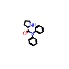 O=C([C@H]1CCCN1)N(c1ccccc1)c1ccccc1